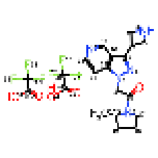 O=C(Cn1nc(C2CNC2)c2cnccc21)N1CCC[C@H]1C(F)(F)F.O=C(O)C(F)(F)F.O=C(O)C(F)(F)F